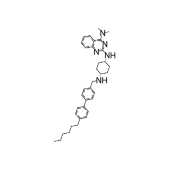 CCCCCCc1ccc(-c2ccc(CN[C@H]3CC[C@@H](Nc4nc(N(C)C)c5ccccc5n4)CC3)cc2)cc1